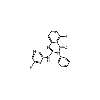 O=c1c2c(F)cccc2nc(Nc2cncc(F)c2)n1-c1ccccc1